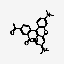 CC(=O)c1ccc(-c2c3ccc(=[N+](C)C)cc-3oc3cc(N(C)C)ccc23)c(C(=O)O)c1